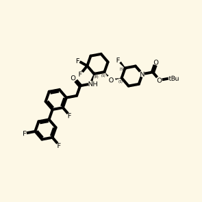 CC(C)(C)OC(=O)N1CC[C@H](O[C@H]2CCCC(F)(F)[C@@H]2NC(=O)Cc2cccc(-c3cc(F)cc(F)c3)c2F)[C@@H](F)C1